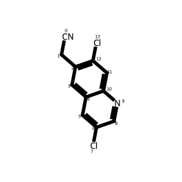 N#CCc1cc2cc(Cl)cnc2cc1Cl